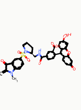 C=C1C(=O)c2cc(S(=O)(=O)N3CCC[C@H]3CNC(=O)c3ccc(-c4c5ccc(=O)cc-5oc5cc(O)ccc45)c(C(=O)O)c3)ccc2N1C